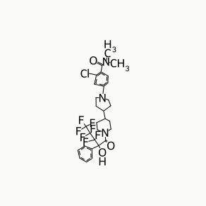 CN(C)C(=O)c1ccc(N2CCC(C3CCN(C(=O)C(O)(c4ccccc4)C(F)(F)C(F)(F)C(F)(F)F)CC3)CC2)cc1Cl